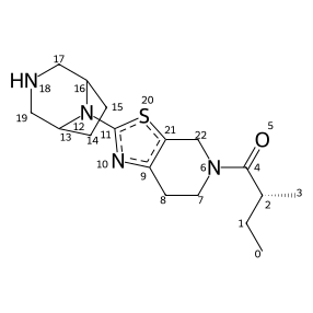 CC[C@@H](C)C(=O)N1CCc2nc(N3C4CCC3CNC4)sc2C1